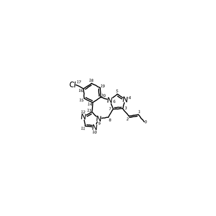 C/C=C/c1ncn2c1Cn1ncnc1-c1cc(Cl)ccc1-2